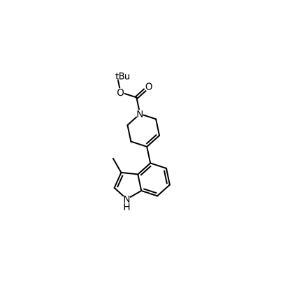 Cc1c[nH]c2cccc(C3=CCN(C(=O)OC(C)(C)C)CC3)c12